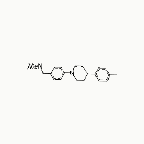 CNCc1ccc(N2CCC(c3ccc(C)cc3)CC2)cc1